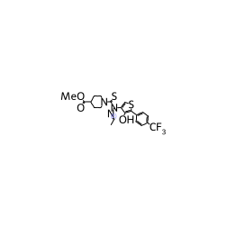 C/C=N/N(C(=S)N1CCC(C(=O)OC)CC1)c1csc(-c2ccc(C(F)(F)F)cc2)c1O